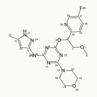 COCC(Oc1nc(Nc2cc(C)[nH]n2)nc(N2CCOCC2)n1)c1ccc(F)cn1